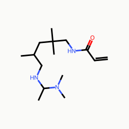 C=CC(=O)NCC(C)(C)CC(C)CNC(C)N(C)C